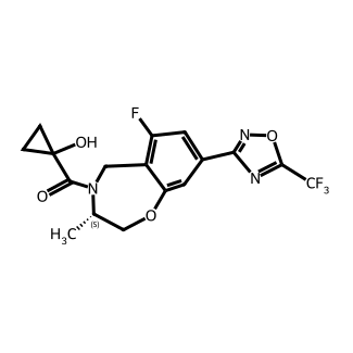 C[C@H]1COc2cc(-c3noc(C(F)(F)F)n3)cc(F)c2CN1C(=O)C1(O)CC1